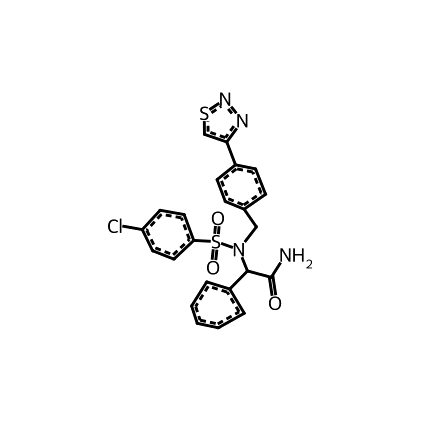 NC(=O)C(c1ccccc1)N(Cc1ccc(-c2csnn2)cc1)S(=O)(=O)c1ccc(Cl)cc1